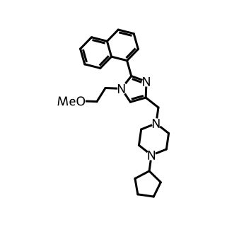 COCCn1cc(CN2CCN(C3CCCC3)CC2)nc1-c1cccc2ccccc12